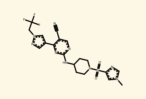 Cn1cnc(S(=O)(=O)N2CCC(Nc3ncc(C#N)c(-c4cnn(CC(F)(F)F)c4)n3)CC2)c1